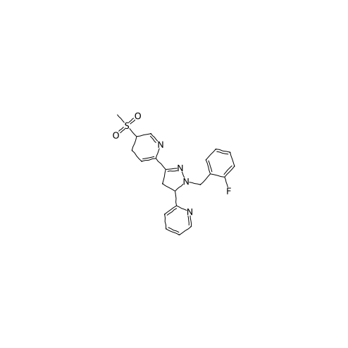 CS(=O)(=O)C1C=NC(C2=NN(Cc3ccccc3F)C(c3ccccn3)C2)=CC1